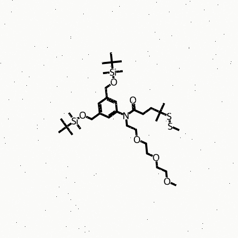 COCCOCCOCCN(C(=O)CCC(C)(C)SSC)c1cc(CO[Si](C)(C)C(C)(C)C)cc(CO[Si](C)(C)C(C)(C)C)c1